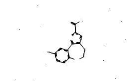 NC(=O)c1cc2c(s1)-c1cc(Cl)ccc1OCC2